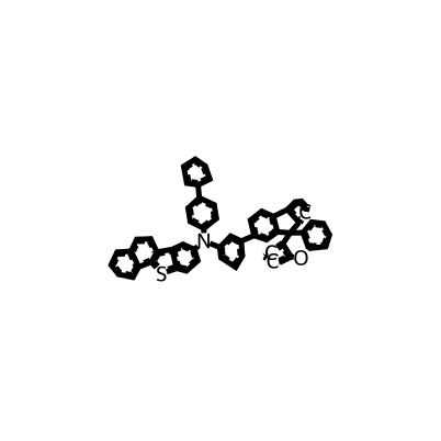 c1ccc(-c2ccc(N(c3cccc(-c4ccc5c(c4)C4(c6ccccc6Oc6ccccc64)c4ccccc4-5)c3)c3ccc4sc5c6ccccc6ccc5c4c3)cc2)cc1